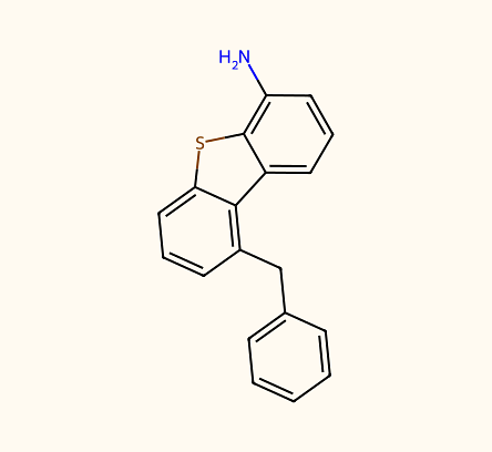 Nc1cccc2c1sc1cccc(Cc3ccccc3)c12